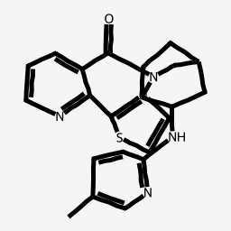 Cc1ccc(NC2CC3CCC2N(C(=O)c2cccnc2-c2nccs2)C3)nc1